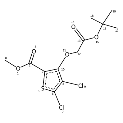 COC(=O)c1sc(Cl)c(Cl)c1OCC(=O)OC(C)(C)C